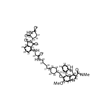 CNC(=O)c1cnc2cc(OC)c(OCC3CCN(CCCCNC(=O)CNc4cccc5c4C(=O)N(C4CCC(=O)NC4=O)C5=O)CC3)cc2c1Nc1ccccc1